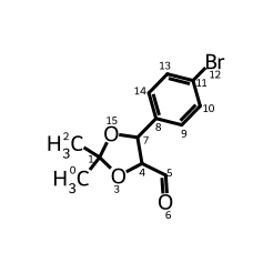 CC1(C)OC(C=O)C(c2ccc(Br)cc2)O1